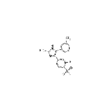 CS(=O)(=O)c1ccc(-c2nc(C(F)(F)F)[nH]c2-c2cccc(C(F)(F)F)c2)cc1F